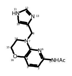 CC(=O)Nc1ccc2c(n1)N(Cc1c[nH]cn1)CCO2